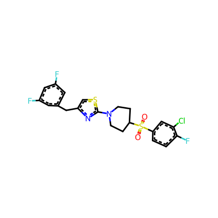 O=S(=O)(c1ccc(F)c(Cl)c1)C1CCN(c2nc(Cc3cc(F)cc(F)c3)cs2)CC1